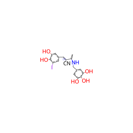 C=C(NCc1cc(O)c(O)c(O)c1)/C(C#N)=C/c1cc(O)c(O)c(I)c1